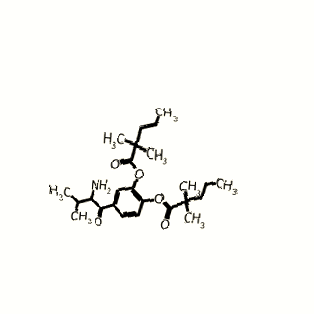 CCCC(C)(C)C(=O)Oc1ccc(C(=O)C(N)C(C)C)cc1OC(=O)C(C)(C)CCC